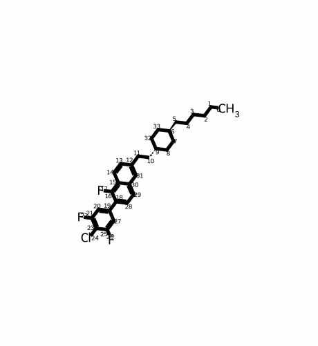 CCCCCC[C@H]1CC[C@H](CCc2ccc3c(F)c(-c4cc(F)c(Cl)c(F)c4)ccc3c2)CC1